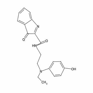 CCN(CCNC(=O)C1=Nc2ccccc2C1=O)c1ccc(O)cc1